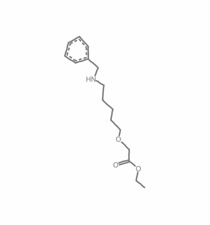 CCOC(=O)COCCCCCNCc1ccccc1